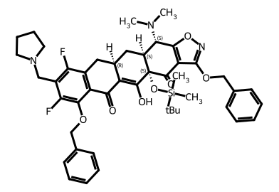 CN(C)[C@@H]1c2onc(OCc3ccccc3)c2C(=O)[C@@]2(O[Si](C)(C)C(C)(C)C)C(O)=C3C(=O)c4c(c(F)c(CN5CCCC5)c(F)c4OCc4ccccc4)C[C@H]3C[C@@H]12